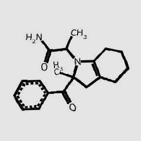 CC(C(N)=O)N1C2=C(CCCC2)CC1(C)C(=O)c1ccccc1